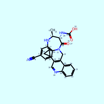 C[C@@H]1Nc2cc(C#N)ccc2N(Cc2c(C3CC3)cnc3ccccc23)C(=O)[C@H]1NC(=O)O